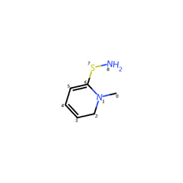 CN1CC=CC=C1SN